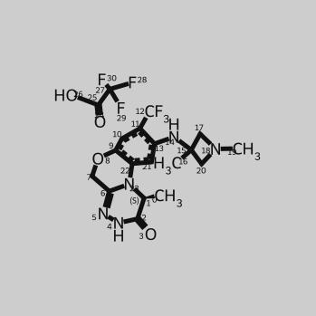 C[C@H]1C(=O)NN=C2COc3cc(C(F)(F)F)c(NC4(C)CN(C)C4)cc3N21.O=C(O)C(F)(F)F